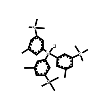 Cc1cc([Si](C)(C)C)cc([Si](Cl)(c2cc(C)cc([Si](C)(C)C)c2)c2cc(C)cc([Si](C)(C)C)c2)c1